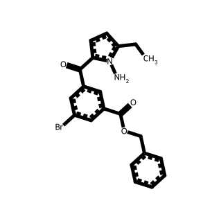 CCc1ccc(C(=O)c2cc(Br)cc(C(=O)OCc3ccccc3)c2)n1N